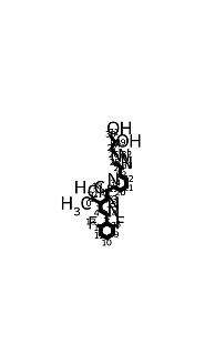 CC(C)c1cc(-c2c(F)cccc2F)nnc1C(C)c1cccc(-c2cn(C[C@H](O)CO)nn2)n1